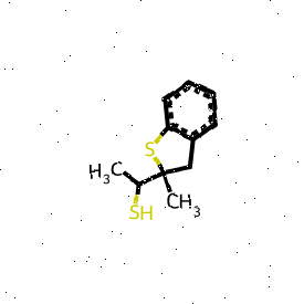 CC(S)C1(C)Cc2ccccc2S1